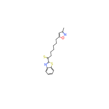 Cc1cc(CCCCCCC(=S)c2nc3ccccc3s2)on1